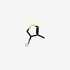 CC1=CSC[C]1Cl